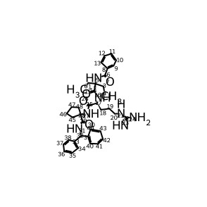 CCC(CC)(NC(=O)c1ccccc1)C(=O)N[C@@H](CCCNC(=N)N)C(=O)NC1(C(=O)NC(c2ccccc2)c2ccccc2)CCCC1